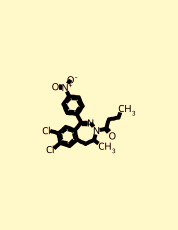 CCCC(=O)N1N=C(c2ccc([N+](=O)[O-])cc2)c2cc(Cl)c(Cl)cc2CC1C